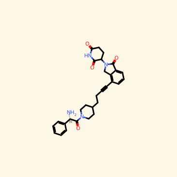 N[C@H](C(=O)N1CCC(CCC#Cc2cccc3c2CN(C2CCC(=O)NC2=O)C3=O)CC1)c1ccccc1